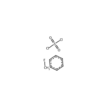 CF.O=S(=O)(Cl)Cl.c1ccccc1